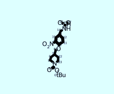 CC(C)(C)OC(=O)N1CCC(COc2ccc(CN[SH](=O)=O)cc2[N+](=O)[O-])CC1